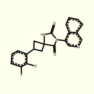 O=C1NC2(CC(c3cccc(F)c3Cl)C2)C(=O)N1c1cncc2ccccc12